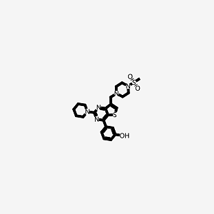 CS(=O)(=O)N1CCN(Cc2csc3c(-c4cccc(O)c4)nc(N4CCCCC4)nc23)CC1